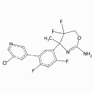 CC1(c2cc(-c3cncc(Cl)c3)c(F)cc2F)N=C(N)OCC1(F)F